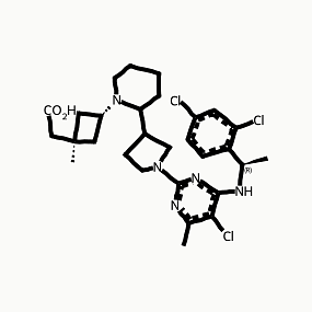 Cc1nc(N2CCC(C3CCCCN3[C@H]3C[C@](C)(CC(=O)O)C3)C2)nc(N[C@H](C)c2ccc(Cl)cc2Cl)c1Cl